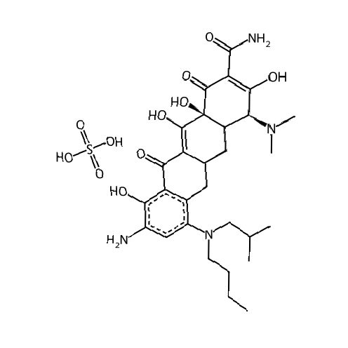 CCCCN(CC(C)C)c1cc(N)c(O)c2c1CC1CC3[C@H](N(C)C)C(O)=C(C(N)=O)C(=O)[C@@]3(O)C(O)=C1C2=O.O=S(=O)(O)O